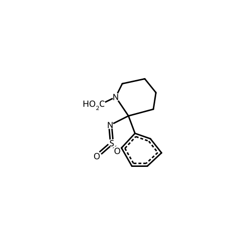 O=C(O)N1CCCCC1(N=S(=O)=O)c1ccccc1